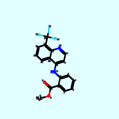 COC(=O)c1ccccc1Nc1ccnc2c(C(F)(F)F)cccc12